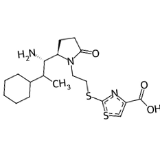 CC(C1CCCCC1)[C@H](N)[C@H]1CCC(=O)N1CCSc1nc(C(=O)O)cs1